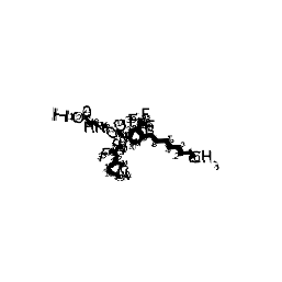 CCCCCCCCc1ccc(N(C(=O)OCNCCC(=O)O)c2nc(-c3cccnc3)c(F)s2)cc1C(F)(F)F